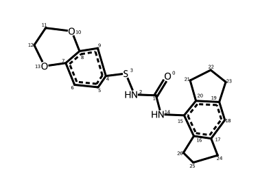 O=C(NSc1ccc2c(c1)OCCO2)Nc1c2c(cc3c1CCC3)CCC2